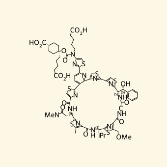 CNC(=O)C[C@@H]1NC(=O)c2csc(n2)-c2ccc(-c3nc(N(CCCCC(=O)O)C(=O)O[C@]4(CCCCC(=O)O)CC[C@@H](C(=O)O)CC4)cs3)nc2-c2csc(n2)-c2csc(n2)[C@H]([C@@H](O)c2ccccc2)NC(=O)CNC(=O)c2nc(sc2COC)[C@H](C(C)C)NC(=O)c2nc1sc2C